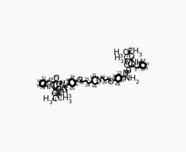 CC(C)(C)OC(=O)N[C@@H](Cc1ccccc1)C(=O)O/N=C(\N)c1ccc(OCCCN2CCC(CCCOc3ccc(/C(N)=N/OC(=O)[C@@H](Cc4ccccc4)NC(=O)OC(C)(C)C)cc3)CC2)cc1